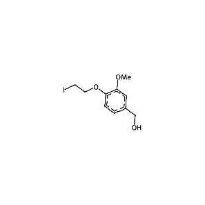 COc1cc(CO)ccc1OCCI